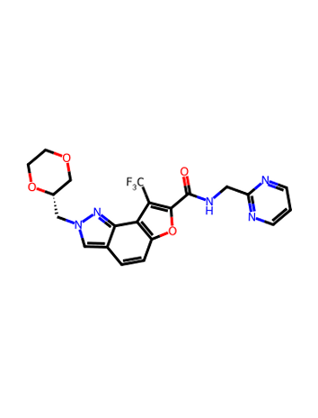 O=C(NCc1ncccn1)c1oc2ccc3cn(C[C@H]4COCCO4)nc3c2c1C(F)(F)F